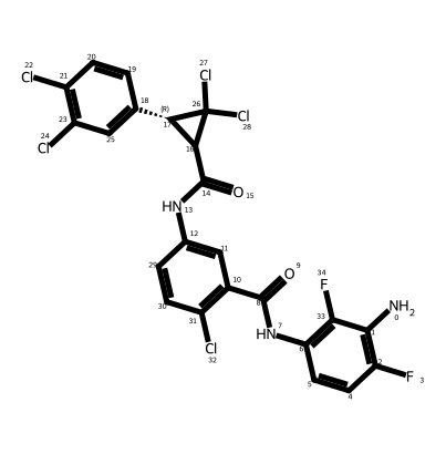 Nc1c(F)ccc(NC(=O)c2cc(NC(=O)C3[C@H](c4ccc(Cl)c(Cl)c4)C3(Cl)Cl)ccc2Cl)c1F